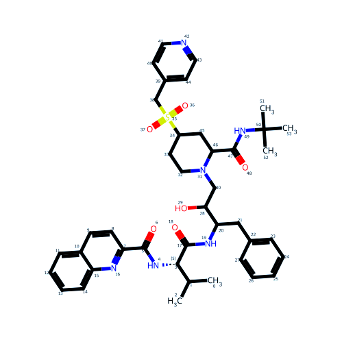 CC(C)[C@H](NC(=O)c1ccc2ccccc2n1)C(=O)NC(Cc1ccccc1)C(O)CN1CCC(S(=O)(=O)Cc2ccncc2)CC1C(=O)NC(C)(C)C